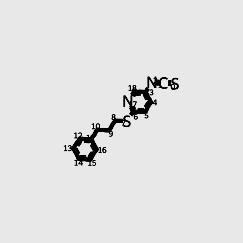 S=C=Nc1ccc(SCCCc2ccccc2)nc1